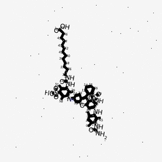 Cc1cc(C)c(Nc2ccc3c(-c4ccccc4S(=O)(=O)O)c4cc/c(=N\c5c(C)c(NC(=O)NCCCCCCCCCCCCC(=O)O)c(C)c(S(=O)(=O)O)c5C)cc-4oc3c2)c(C)c1NC(N)=O